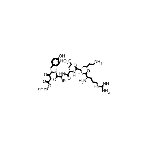 CCCCCCOC(=O)CC(=O)[C@H](Cc1ccc(O)cc1)NC(=O)[C@@H](NC(=O)[C@H](CCC(=O)O)NC(=O)[C@H](CCCCN)NC(=O)[C@@H](N)CCCNC(=N)N)C(C)C